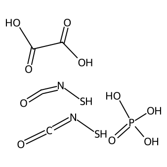 O=C(O)C(=O)O.O=C=NS.O=C=NS.O=P(O)(O)O